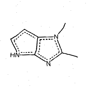 Cc1nc2[nH]ccc2n1C